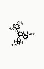 CNc1cc(F)cc2c1[nH]c1nc(OC3=CN=C(C)NC3C)nc(N3C[C@H]4C[C@@H](N)[C@H]4C3)c12